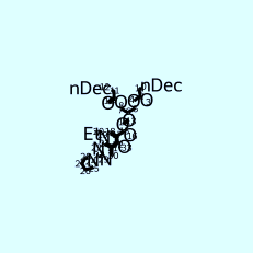 CCCCCCCCCCCC(=O)OCC(COC(=O)CCCCCCCCCCC)OOC(=O)c1cn(CC)c2nc(N3CCCC3)ncc2c1=O